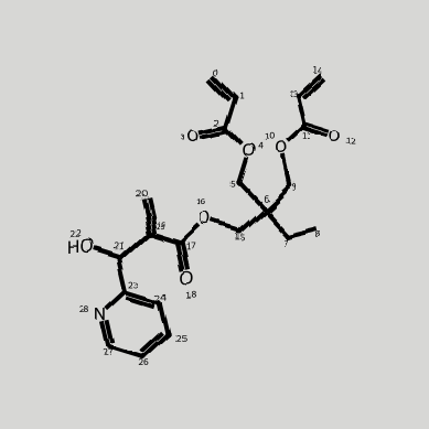 C=CC(=O)OCC(CC)(COC(=O)C=C)COC(=O)C(=C)C(O)c1ccccn1